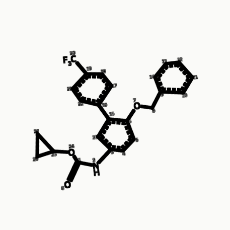 O=C(Nc1ccc(OCc2ccccc2)c(-c2ccc(C(F)(F)F)cc2)c1)OC1CC1